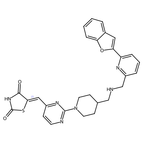 O=C1NC(=O)/C(=C/c2ccnc(N3CCC(CNCc4cccc(-c5cc6ccccc6o5)n4)CC3)n2)S1